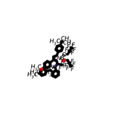 Cc1ccc(C2=N/C(=C(\c3c(-c4ccc(C(C)(C)C)cc4)cc(-c4ccc(C(C)(C)C)cc4)n3B(OCC(F)(F)C(F)(F)F)OCC(F)(F)C(F)(F)F)C(F)(F)F)c3ccccc32)cc1